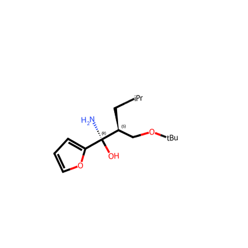 CC(C)C[C@@H](COC(C)(C)C)[C@@](N)(O)c1ccco1